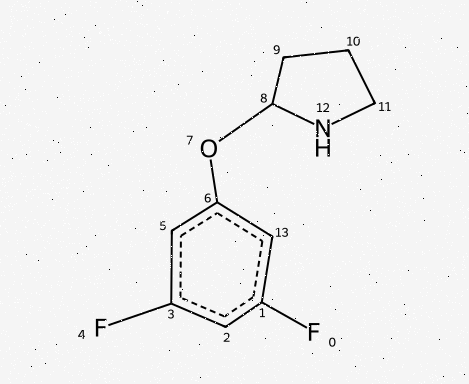 Fc1cc(F)cc(OC2CCCN2)c1